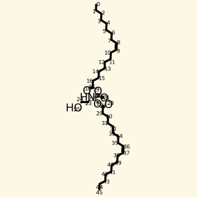 CCCCCCCC/C=C\CCCCCCCC(=O)OP(=O)(NCCO)OC(=O)CCCCCCC/C=C\CCCCCCCC